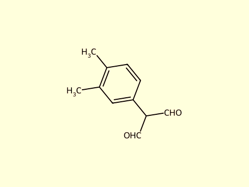 Cc1ccc(C(C=O)C=O)cc1C